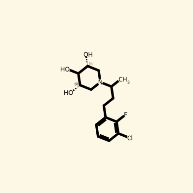 CC(CCc1cccc(Cl)c1F)N1C[C@@H](O)C(O)[C@@H](O)C1